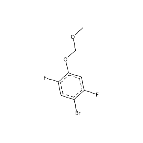 COCOc1cc(F)c(Br)cc1F